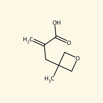 C=C(CC1(C)COC1)C(=O)O